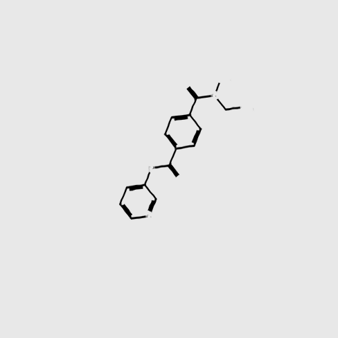 CCN(C)C(=O)c1ccc(C(=O)Nc2cccnc2)cc1